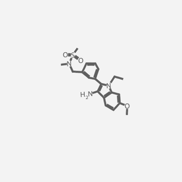 CCn1c(-c2cccc(CN(C)S(C)(=O)=O)c2)c(N)c2ccc(OC)cc21